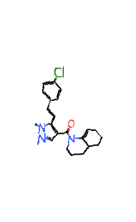 Cn1ncc(C(=O)N2CCCC3CCCC=C32)c1C=Cc1ccc(Cl)cc1